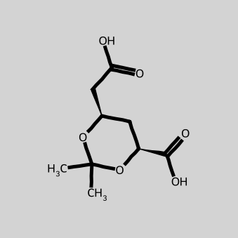 CC1(C)O[C@@H](CC(=O)O)C[C@@H](C(=O)O)O1